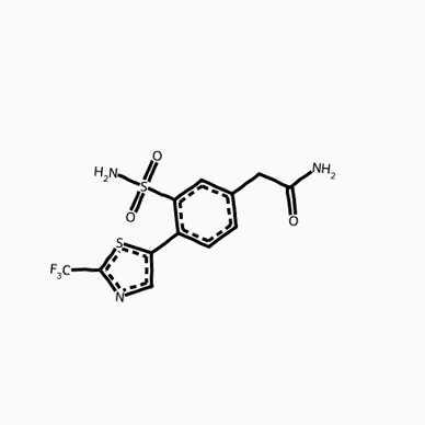 NC(=O)Cc1ccc(-c2cnc(C(F)(F)F)s2)c(S(N)(=O)=O)c1